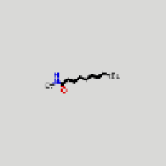 CCNC(=O)CCCCCCCC(C)(C)C